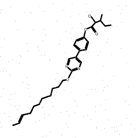 C/C=C/CCCCCCCCOc1ncc(-c2ccc(OC(=O)C(Cl)C(C)CC)cc2)cn1